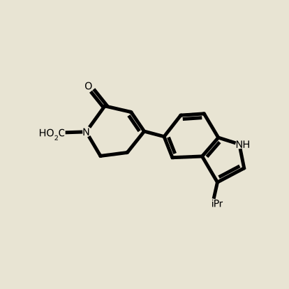 CC(C)c1c[nH]c2ccc(C3=CC(=O)N(C(=O)O)CC3)cc12